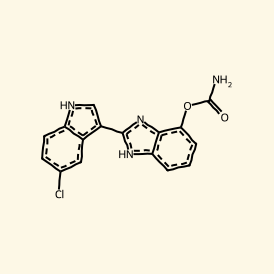 NC(=O)Oc1cccc2[nH]c(-c3c[nH]c4ccc(Cl)cc34)nc12